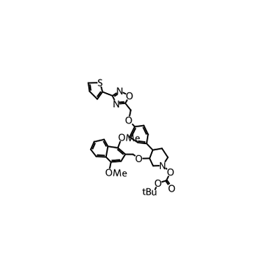 COc1cc(COC2CN(OC(=O)OC(C)(C)C)CCC2c2ccc(OCc3nc(-c4cccs4)no3)cc2)c(OC)c2ccccc12